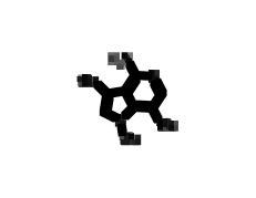 CC(C)(C)c1cn(C(C)(C)C)c2c(C(C)(C)C)cnc(N)c12